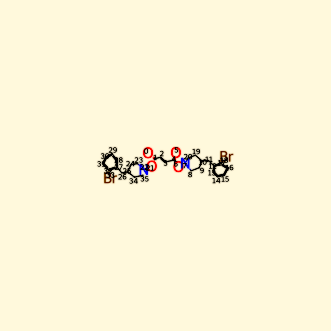 O=C(/C=C/C(=O)ON1CCC(Cc2ccccc2Br)CC1)ON1CCC(Cc2ccccc2Br)CC1